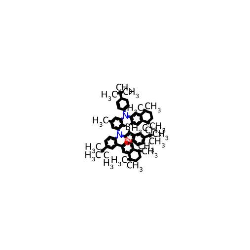 Cc1cc2c3c(c1)N(c1ccc(C(C)(C)C)cc1-c1ccc4c(c1)C(C)(C)CCC4(C)C)c1oc4ccc(C(C)(C)C)cc4c1B3c1cc3c(cc1N2C1=CCC(C(C)(C)C)C=C1)C(C)(C)CCC3(C)C